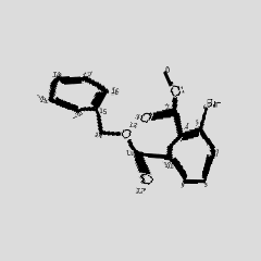 COC(=O)c1c(Br)cccc1C(=O)OCc1ccccc1